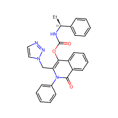 CC[C@H](NC(=O)Oc1c(Cn2ccnn2)n(-c2ccccc2)c(=O)c2ccccc12)c1ccccc1